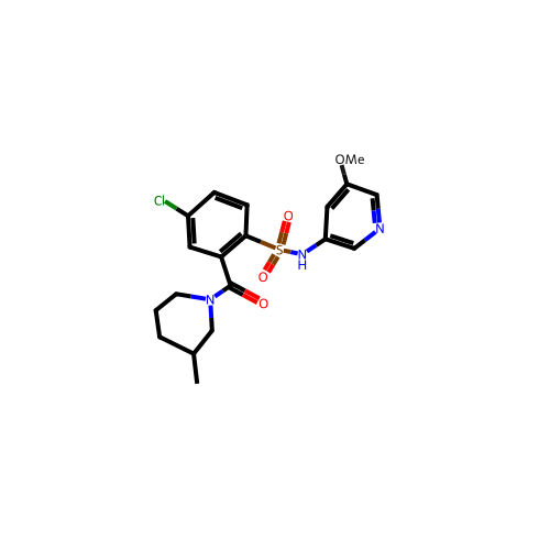 COc1cncc(NS(=O)(=O)c2ccc(Cl)cc2C(=O)N2CCCC(C)C2)c1